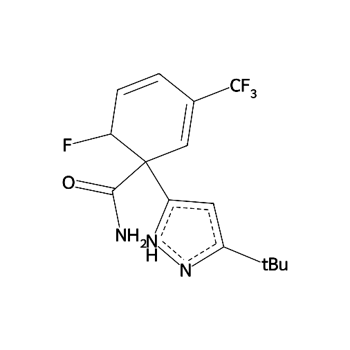 CC(C)(C)c1cc(C2(C(N)=O)C=C(C(F)(F)F)C=CC2F)[nH]n1